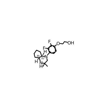 CC1(C)CN(c2ccc(OCCO)c(F)c2F)[C@H]2CCCC[C@H]2N1